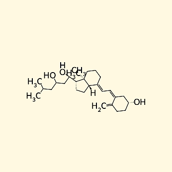 C=C1CC[C@@H](O)C/C1=C/C=C1\CCC[C@@]2(C)[C@H]1CC[C@@H]2[C@](C)(O)CC(O)CC(C)C